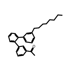 CCCCCCCCc1cccc(-c2ccccc2-c2cccc(C(C)=O)c2)c1